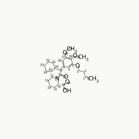 C=CCCOc1cc(C(C(=O)N2CCCC[C@H]2C(=O)O)C2CCCCC2)cc(OC)c1OC